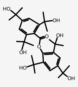 CC(C)(O)c1cc(C(C)(C)O)c(OC(=O)c2c(C(C)(C)O)cc(C(C)(C)O)cc2C(C)(C)O)c(C(C)(C)O)c1